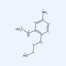 Nc1ccc(OCCO)c(NC(=O)O)c1